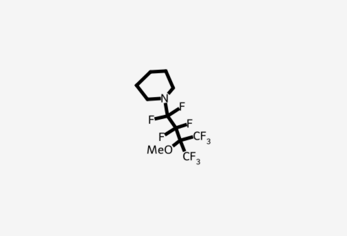 COC(C(F)(F)F)(C(F)(F)F)C(F)(F)C(F)(F)N1CCCCC1